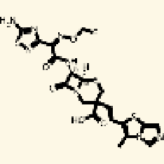 Cc1c(C=CC2(C(=O)O)CS[C@@H]3[C@H](NC(=O)C(=NOCF)c4nsc(N)n4)C(=O)N3C2)sc2cncn12